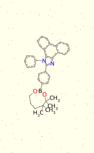 CC1(C)CCCOB(c2ccc(-c3nc4c5ccccc5c5ccccc5c4n3-c3ccccc3)cc2)OC1(C)C